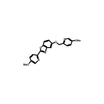 COc1ccc(COc2ccc3oc(-c4ccc(OC)cn4)nc3c2)nc1